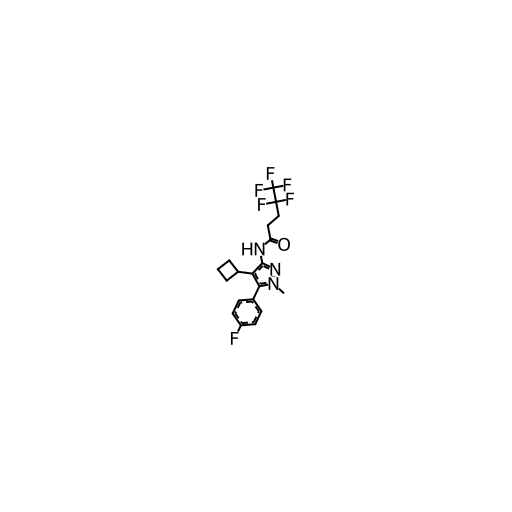 Cn1nc(NC(=O)CCC(F)(F)C(F)(F)F)c(C2CCC2)c1-c1ccc(F)cc1